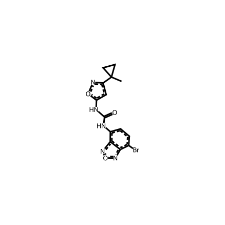 CC1(c2cc(NC(=O)Nc3ccc(Br)c4nonc34)on2)CC1